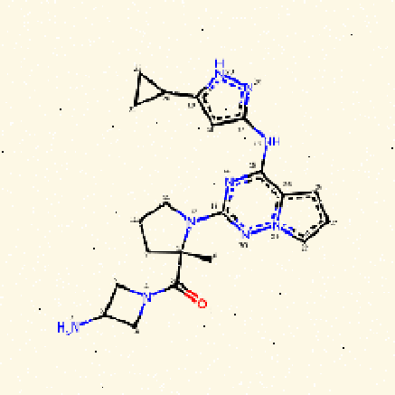 C[C@@]1(C(=O)N2CC(N)C2)CCCN1c1nc(Nc2cc(C3CC3)[nH]n2)c2cccn2n1